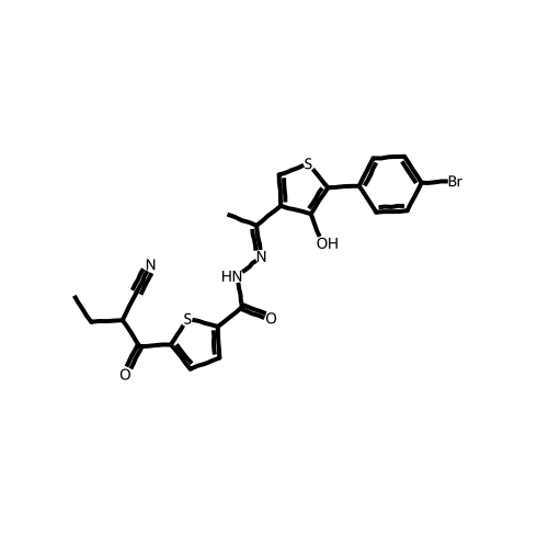 CCC(C#N)C(=O)c1ccc(C(=O)NN=C(C)c2csc(-c3ccc(Br)cc3)c2O)s1